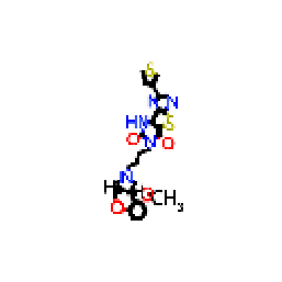 COc1cccc2c1[C@@H]1CN(CCCCn3c(=O)[nH]c4c(sc5ncc(-c6ccsc6)nc54)c3=O)C[C@H]1CO2